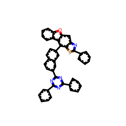 c1ccc(-c2nc(-c3ccccc3)nc(-c3ccc4ccc(-c5c6sc(-c7ccccc7)nc6cc6oc7ccccc7c56)cc4c3)n2)cc1